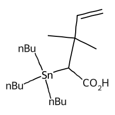 C=CC(C)(C)[CH](C(=O)O)[Sn]([CH2]CCC)([CH2]CCC)[CH2]CCC